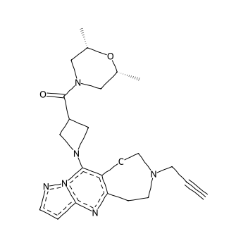 C#CCN1CCc2nc3ccnn3c(N3CC(C(=O)N4C[C@@H](C)O[C@@H](C)C4)C3)c2CC1